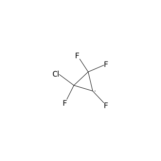 F[C]1C(F)(F)C1(F)Cl